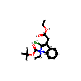 CCOC(=O)CC1=C(Br)[N+](CC)(C(=O)OC(C)(C)C)c2ccccc21